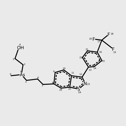 C[As](CCO)CCCc1ccc2c(-c3ccc(C(F)(F)F)cc3)nsc2c1